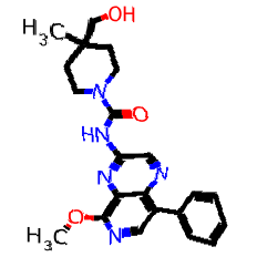 COc1ncc(-c2ccccc2)c2ncc(NC(=O)N3CCC(C)(CO)CC3)nc12